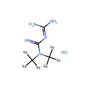 Cl.[2H]C([2H])([2H])N(C(=N)N=C(N)N)C([2H])([2H])[2H]